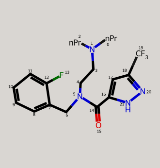 CCCN(CCC)CCN(Cc1ccccc1F)C(=O)c1cc(C(F)(F)F)n[nH]1